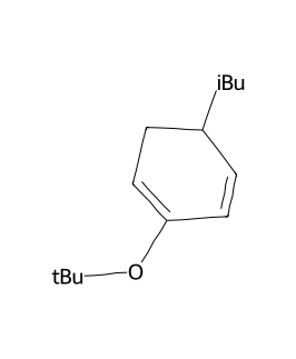 CCC(C)C1C=CC(OC(C)(C)C)=CC1